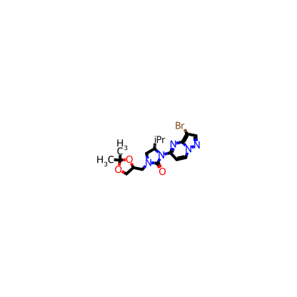 CC(C)C1CN(CC2COC(C)(C)O2)C(=O)N1c1ccn2ncc(Br)c2n1